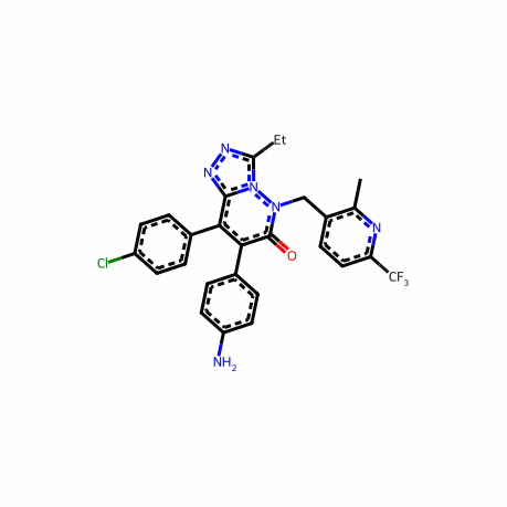 CCc1nnc2c(-c3ccc(Cl)cc3)c(-c3ccc(N)cc3)c(=O)n(Cc3ccc(C(F)(F)F)nc3C)n12